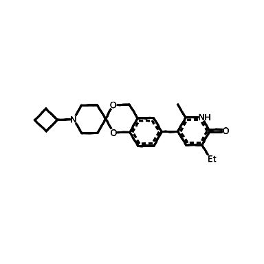 CCc1cc(-c2ccc3c(c2)COC2(CCN(C4CCC4)CC2)O3)c(C)[nH]c1=O